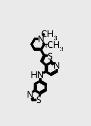 C[C@H]1C(c2cc3c(Nc4ccc5scnc5c4)ccnc3s2)=CCCN1C